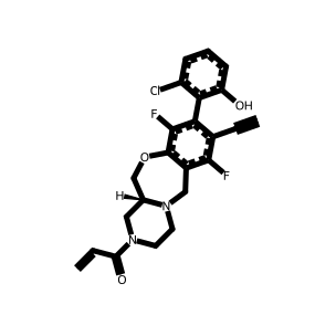 C#Cc1c(F)c2c(c(F)c1-c1c(O)cccc1Cl)OC[C@H]1CN(C(=O)C=C)CCN1C2